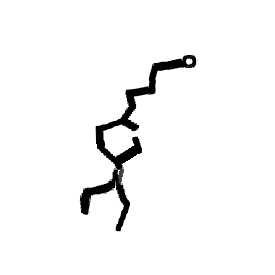 C/C=C(\C=C/C(C)CCC=O)N(CC)CC